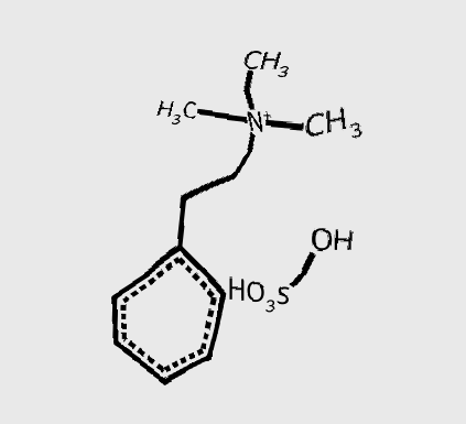 C[N+](C)(C)CCc1ccccc1.O=S(=O)(O)O